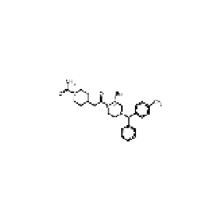 CC(C)(C)[C@H]1CN(C(c2ccccc2)c2ccc(C(F)(F)F)cc2)CCN1C(=O)CC1CCN(C(N)=O)CC1